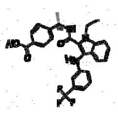 CCn1c(C(=O)N[C@@H](C)c2ccc(C(=O)O)cc2)c(Nc2cccc(C(F)(F)F)c2)c2ccccc21